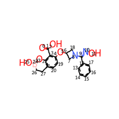 O=C(O)c1c(OC2CN(/C(=N/O)c3ccccc3)C2)ccc2c1OB(O)CC2